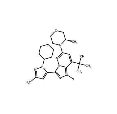 Cc1cc(-c2nc(I)c3c(C(C)(C)C#N)cc(N4CCOC[C@H]4C)nn23)n(C2CCCCO2)n1